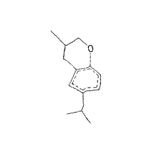 CC1COc2ccc(C(C)C)cc2C1